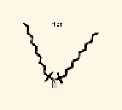 Br.CCCCCCCCCCCC(C)(C)NC(C)(C)CCCCCCCCCCC